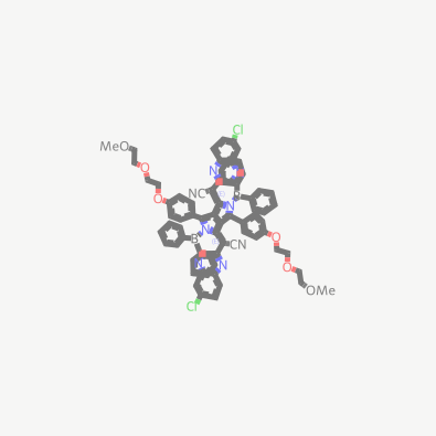 COCCOCCOc1ccc(-c2c3/c(=C(\C#N)c4cnc5cc(Cl)ccc5n4)n(B(c4ccccc4)c4ccccc4)c(-c4ccc(OCCOCCOC)cc4)c3/c(=C(\C#N)c3cnc4cc(Cl)ccc4n3)n2B(c2ccccc2)c2ccccc2)cc1